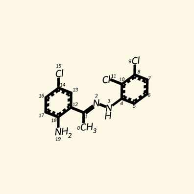 C/C(=N\Nc1cccc(Cl)c1Cl)c1cc(Cl)ccc1N